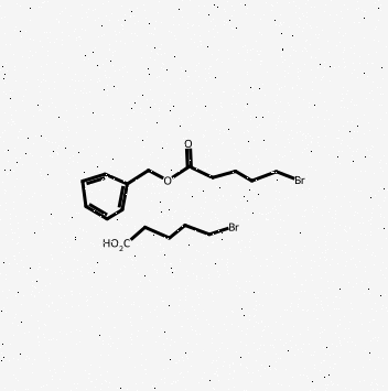 O=C(CCCCBr)OCc1ccccc1.O=C(O)CCCCBr